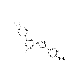 Cc1cc(-c2ccc(C(F)(F)F)cc2)nc(-n2cnc(-c3ccc(N)nc3)c2)n1